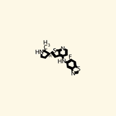 C[C@H]1NCC[C@H]1c1cc2c(Nc3cc4ncsc4cc3F)ccnc2s1